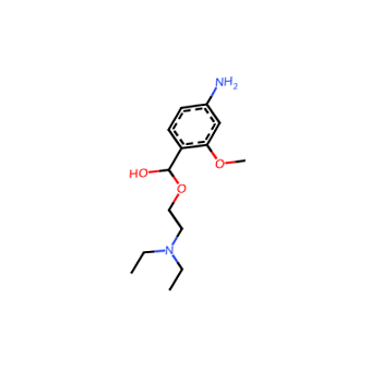 CCN(CC)CCOC(O)c1ccc(N)cc1OC